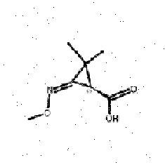 CON=C1[C@H](C(=O)O)C1(C)C